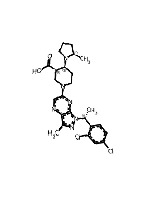 Cc1nn([C@H](C)c2ccc(Cl)cc2Cl)c2nc(N3CC[C@H](N4CCC[C@H]4C)[C@H](C(=O)O)C3)cnc12